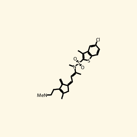 C=C1C(CCNC)=C(C)C/C1=C/C=C(\C)N(C)S(=O)(=O)c1sc2ccc(Cl)cc2c1C